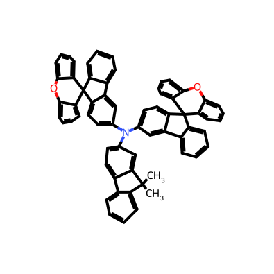 CC1(C)c2ccccc2-c2ccc(N(c3ccc4c(c3)-c3ccccc3C43c4ccccc4Oc4ccccc43)c3ccc4c(c3)-c3ccccc3C43c4ccccc4Oc4ccccc43)cc21